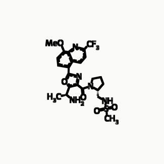 COc1ccc(-c2nc(C(=O)N3CCC[C@@H]3CNS(C)(=O)=O)c([C@H](C)N)o2)c2ccc(C(F)(F)F)nc12